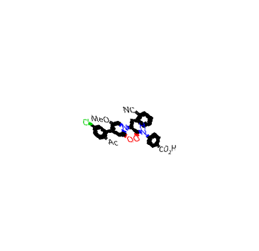 COc1cn(C(Cc2ccccc2C#N)C(=O)Nc2ccc(C(=O)O)cc2)c(=O)cc1-c1cc(Cl)ccc1C(C)=O